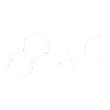 CC(C)(Oc1cccc2ccccc12)C(O)CCl